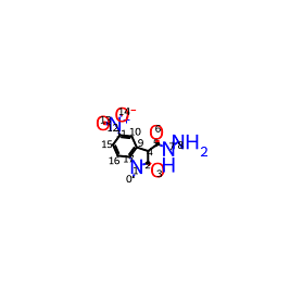 CN1C(=O)C(C(=O)NN)c2cc([N+](=O)[O-])ccc21